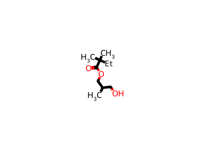 CCC(C)(C)C(=O)OCC(C)CO